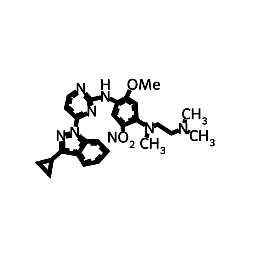 COc1cc(N(C)CCN(C)C)c([N+](=O)[O-])cc1Nc1nccc(-n2nc(C3CC3)c3ccccc32)n1